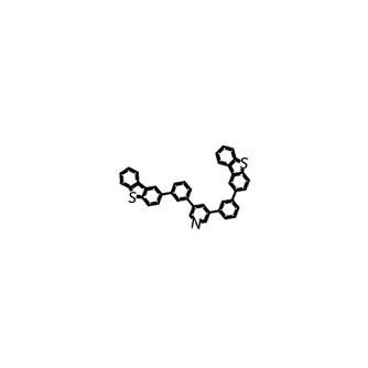 c1cc(-c2cncc(-c3cccc(-c4ccc5sc6ccccc6c5c4)c3)c2)cc(-c2ccc3sc4ccccc4c3c2)c1